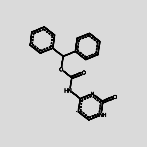 O=C(Nc1[c]c[nH]c(=O)n1)OC(c1ccccc1)c1ccccc1